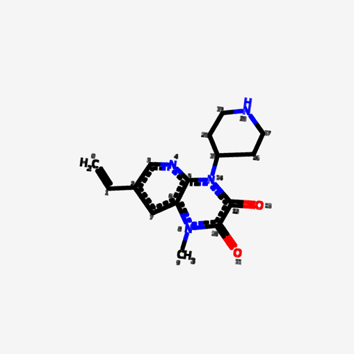 C=Cc1cnc2c(c1)n(C)c(=O)c(=O)n2C1CCNCC1